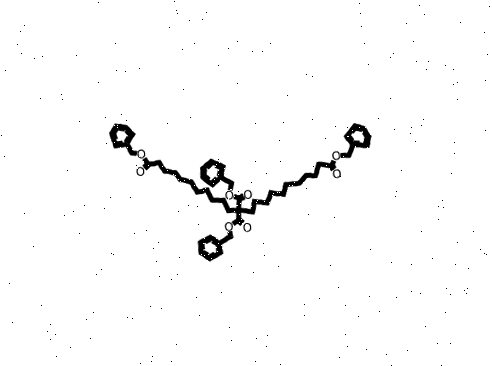 O=C(CCCCCCCCCCC(CCCCCCCCCCC(=O)OCc1ccccc1)(C(=O)OCc1ccccc1)C(=O)OCc1ccccc1)OCc1ccccc1